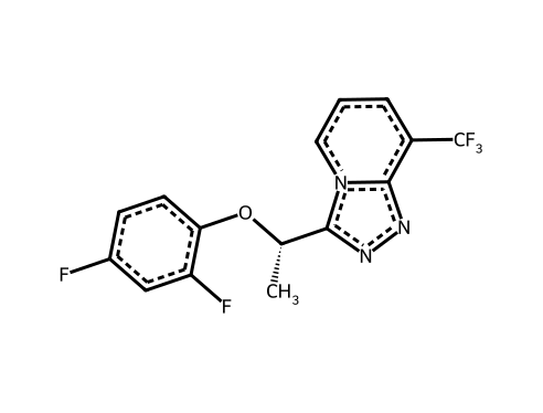 C[C@H](Oc1ccc(F)cc1F)c1nnc2c(C(F)(F)F)cccn12